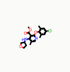 COC(=O)c1c(Oc2c(C)cc(Cl)cc2C)ncc(C)c1NC1CCOC1